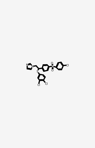 O=S(=O)(c1ccc(Cl)cc1)c1ccc(C(Cn2ccnc2)Sc2ccc(Cl)c(Cl)c2)cc1